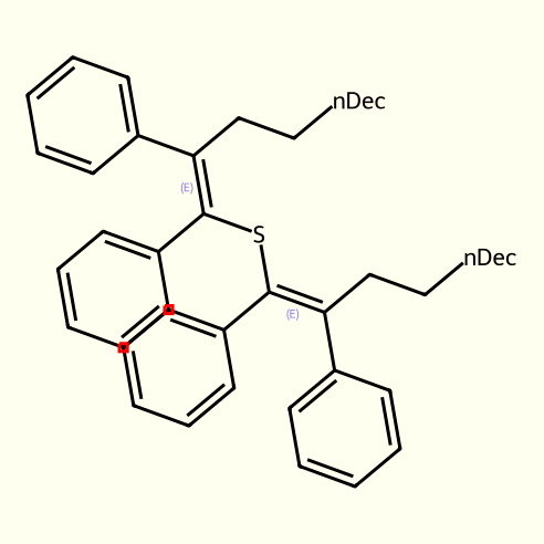 CCCCCCCCCCCC/C(=C(\S/C(=C(\CCCCCCCCCCCC)c1ccccc1)c1ccccc1)c1ccccc1)c1ccccc1